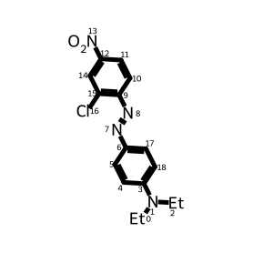 CCN(CC)c1ccc(N=Nc2ccc([N+](=O)[O-])cc2Cl)cc1